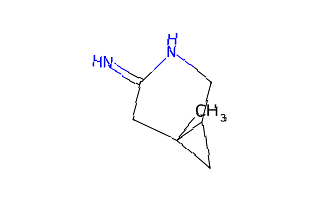 CC12CC(=N)NCC1C2